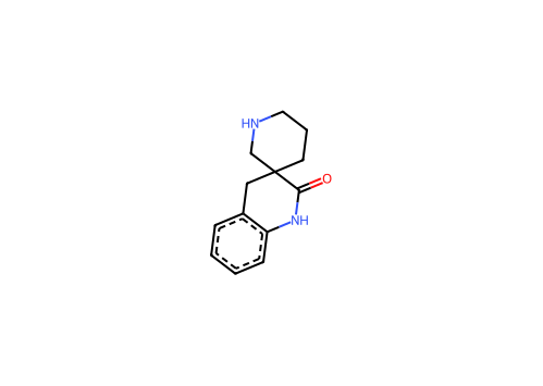 O=C1Nc2ccccc2CC12CCCNC2